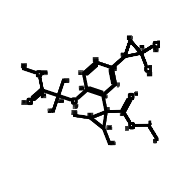 CCOC(=O)C1(c2cc(C3CC3(Cl)Cl)ccc2OC(C)(C)C(=O)OC)C(C)C1C